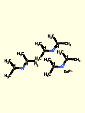 C[SiH](C)[N-][SiH](C)C.C[SiH](C)[N-][SiH](C)C.C[SiH](C)[N-][SiH](C)C.[Gd+3]